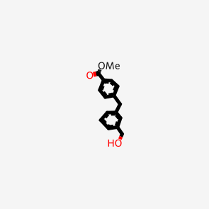 COC(=O)c1ccc(Cc2cccc(CO)c2)cc1